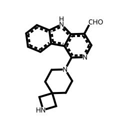 O=Cc1cnc(N2CCC3(CC2)CNC3)c2c1[nH]c1ccccc12